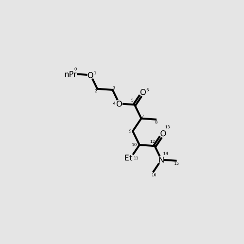 CCCOCCOC(=O)C(C)CC(CC)C(=O)N(C)C